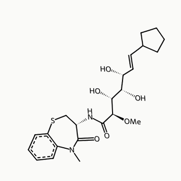 CO[C@@H](C(=O)N[C@H]1CSc2ccccc2N(C)C1=O)[C@H](O)[C@@H](O)[C@H](O)/C=C/C1CCCC1